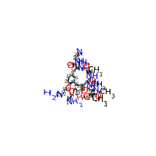 CC(=O)N[C@H](C(=O)N(C)[C@@H]1C(=O)N[C@@H](C)C(=O)N[C@H](C(=O)NCC#N)Cc2ccc(OCCN)c(c2)-c2cc1ccc2OCCN)[C@@H](C)O